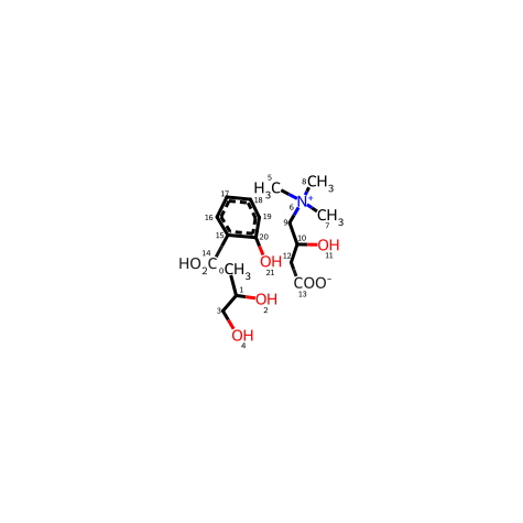 CC(O)CO.C[N+](C)(C)CC(O)CC(=O)[O-].O=C(O)c1ccccc1O